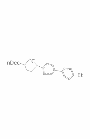 CCCCCCCCCCC1CCC(c2ccc(-c3ccc(CC)cc3)cc2)CC1